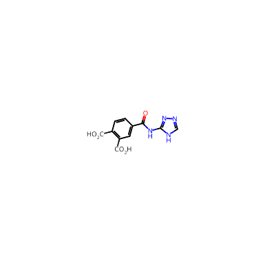 O=C(Nc1nnc[nH]1)c1ccc(C(=O)O)c(C(=O)O)c1